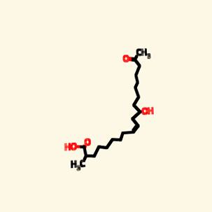 CC(=O)CCCCCC[C@@H](O)C/C=C\CCCCCCC(C)C(=O)O